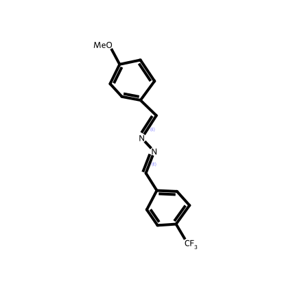 COc1ccc(/C=N/N=C/c2ccc(C(F)(F)F)cc2)cc1